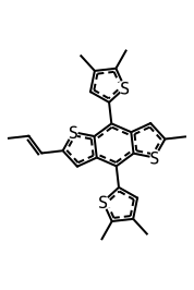 C/C=C/c1cc2c(-c3cc(C)c(C)s3)c3sc(C)cc3c(-c3cc(C)c(C)s3)c2s1